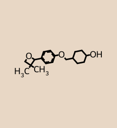 CC1(C)COC1c1ccc(OCC2CCC(O)CC2)cc1